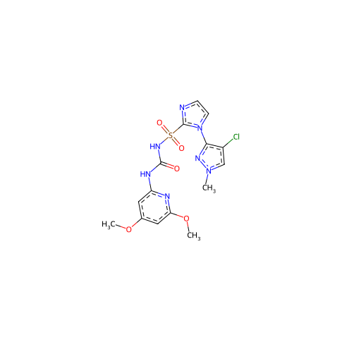 COc1cc(NC(=O)NS(=O)(=O)c2nccn2-c2nn(C)cc2Cl)nc(OC)c1